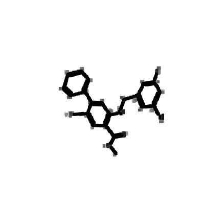 COC(=O)c1cc(F)c(-c2ccccc2)cc1NCc1cc(Cl)cc(Cl)c1